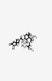 COC1C(OC(=O)N2CC3(CNC(=O)C3)C2)CCC2(CO2)C1[C@@]1(C)O[C@@H]1CC=C(C)C